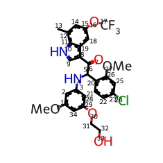 COc1cc(NC(C(=O)c2c[nH]c3c(C)cc(OC(F)(F)F)cc23)c2ccc(Cl)cc2OC)cc(OCCO)c1